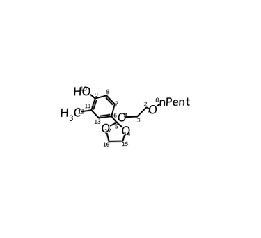 CCCCCOCCOC1(c2ccc(O)c(C)c2)OCCO1